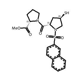 COC(=O)[C@@H]1CCCN1C(=O)[C@@H]1C[C@@H](S)CN1S(=O)(=O)c1ccc2ccccc2c1